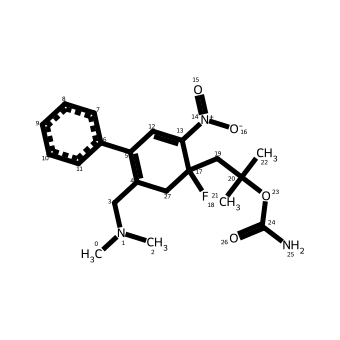 CN(C)CC1=C(c2ccccc2)C=C([N+](=O)[O-])C(F)(CC(C)(C)OC(N)=O)C1